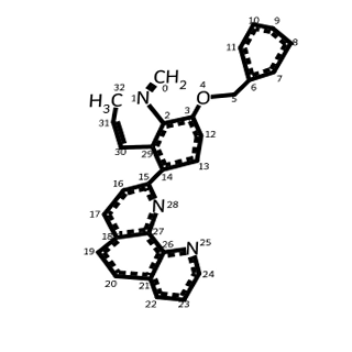 C=Nc1c(OCc2ccccc2)ccc(-c2ccc3ccc4cccnc4c3n2)c1/C=C\C